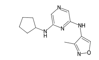 Cc1nocc1Nc1cncc(NC2CCCC2)n1